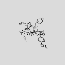 CCCCCCCCCCO[C@@H]1[C@H]2OC(C)(C)O[C@H]2O[C@@H]1[C@@H](CN1CCOCC1)OC(=O)NS(=O)(=O)c1ccc(C)cc1